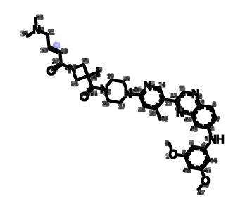 COc1cc(Nc2ccc3ncc(-c4cnc(N5CCN(C(=O)C6(F)CN(C(=O)/C=C/CN(C)C)C6)CC5)cc4C)nc3c2)cc(OC)c1